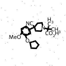 COc1ccc(C2(C#N)CCN(C(C)(C)C(=O)O)CC2)cc1OC1CCCC1